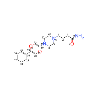 NC(=O)CCCN1CCN(C2=COC(C3=CC=CCC3)=CO2)CC1